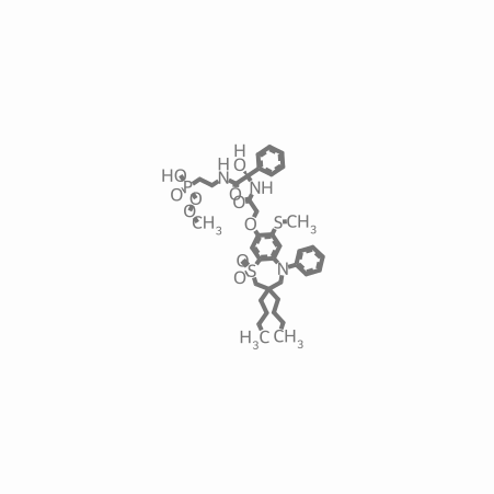 CCCCC1(CCCC)CN(c2ccccc2)c2cc(SC)c(OCC(=O)N[C@](O)(C(=O)NCCP(=O)(O)OOC)c3ccccc3)cc2S(=O)(=O)C1